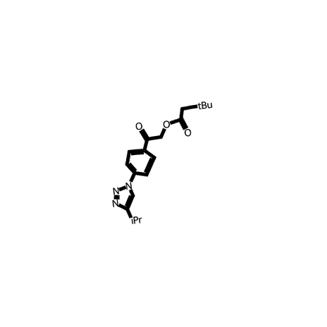 CC(C)c1cn(-c2ccc(C(=O)COC(=O)CC(C)(C)C)cc2)nn1